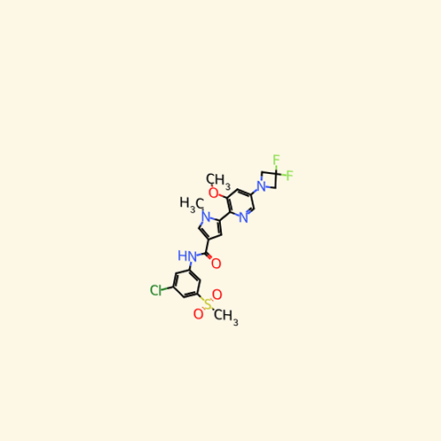 COc1cc(N2CC(F)(F)C2)cnc1-c1cc(C(=O)Nc2cc(Cl)cc(S(C)(=O)=O)c2)cn1C